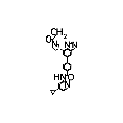 C=CC(=O)N1CCC(c2cc(-c3ccc(C(=O)Nc4cc(C5CC5)ccn4)cc3)cc3cncnc23)C1